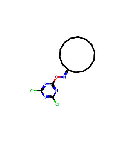 Clc1nc(Cl)nc(ON=C2CCCCCCCCCCCCC2)n1